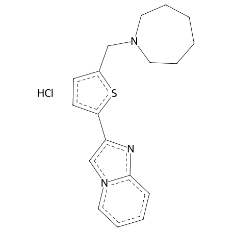 Cl.c1ccn2cc(-c3ccc(CN4CCCCCC4)s3)nc2c1